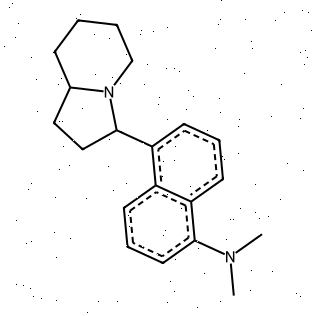 CN(C)c1cccc2c(C3CCC4CCCCN43)cccc12